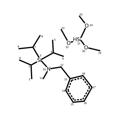 CC(C)[Si](C(C)C)(C(C)C)N(C)Cc1ccccc1.CO[SiH](OC)OC